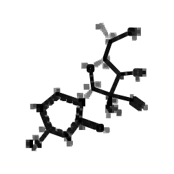 C#C[C@@]1(N)C(O)[C@@H]([C@H](C)O)O[C@H]1n1cnc(N)nc1=O